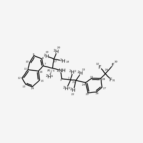 [2H]C([2H])(CN[C@@]([2H])(c1cccc2ccccc12)C([2H])([2H])[2H])C([2H])([2H])c1cccc(C(F)(F)F)c1